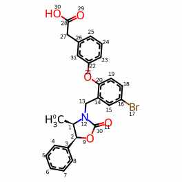 C[C@@H]1[C@H](c2ccccc2)OC(=O)N1Cc1cc(Br)ccc1Oc1cccc(CC(=O)O)c1